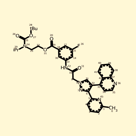 Cc1cccc(-c2nn(CC(=O)Nc3cc(F)cc(C(=O)OCCN(C(=O)OC(C)(C)C)C(C)C)c3)cc2-c2ccnc3ccccc23)n1